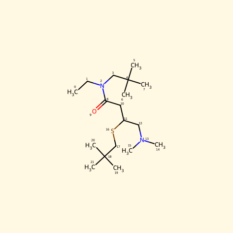 CCN(CC(C)(C)C)C(=O)CC(CN(C)C)SCC(C)(C)C